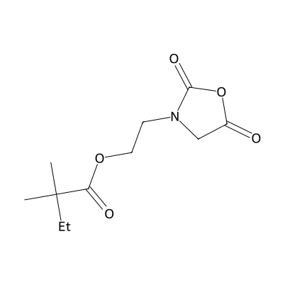 CCC(C)(C)C(=O)OCCN1CC(=O)OC1=O